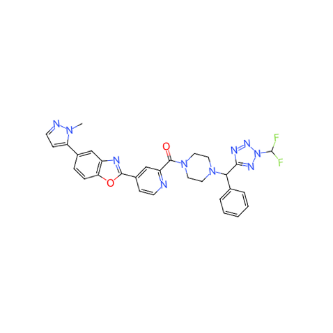 Cn1nccc1-c1ccc2oc(-c3ccnc(C(=O)N4CCN(C(c5ccccc5)c5nnn(C(F)F)n5)CC4)c3)nc2c1